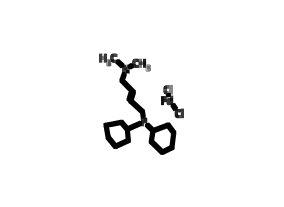 CN(C)CC=CCP(C1CCCCC1)C1CCCCC1.[Cl][Pd][Cl]